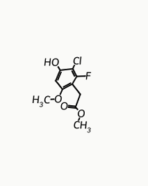 COC(=O)Cc1c(OC)cc(O)c(Cl)c1F